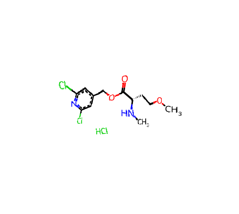 CN[C@@H](CCOC)C(=O)OCc1cc(Cl)nc(Cl)c1.Cl